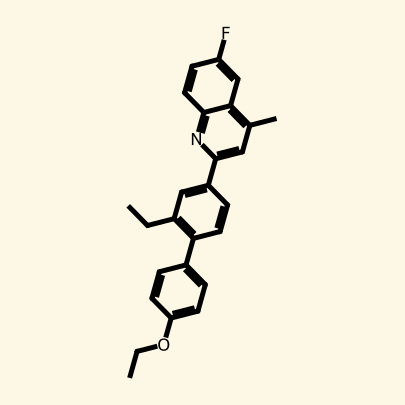 CCOc1ccc(-c2ccc(-c3cc(C)c4cc(F)ccc4n3)cc2CC)cc1